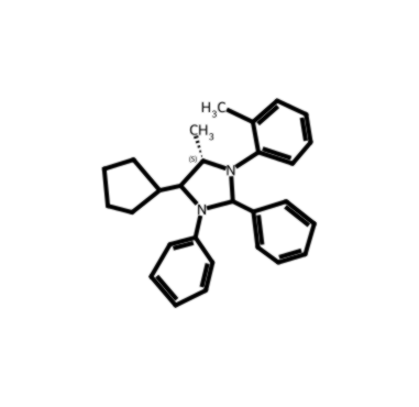 Cc1ccccc1N1C(c2ccccc2)N(c2ccccc2)C(C2CCCC2)[C@@H]1C